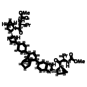 COC(=O)N[C@H](C(=O)N1C2CC2C[C@@H]1c1nc2ccc(-c3ccc(-c4ccc(-c5cnc([C@@H]6C[C@@H]7C[C@@H]7N6C(=O)[C@@H](NC(=O)OC)C(C)C)[nH]5)cc4)c4c3C3CCC4C3)cc2[nH]1)C(C)C